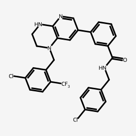 O=C(NCc1ccc(Cl)cc1)c1cccc(-c2cnc3c(c2)N(Cc2cc(Cl)ccc2C(F)(F)F)CCN3)c1